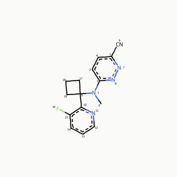 CN(c1ccc(C#N)nn1)C1(c2ncccc2F)CCC1